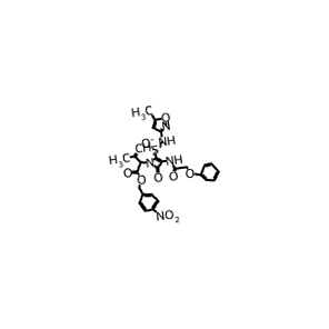 C=C(C)C(C(=O)OCc1ccc([N+](=O)[O-])cc1)N1C(=O)C(NC(=O)COc2ccccc2)=C1[S+]([O-])Nc1cc(C)on1